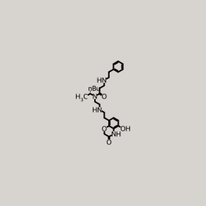 CCCC[C@@H](C)N(CCNCCc1ccc(O)c2c1OCC(=O)N2)C(=O)CCNCCc1ccccc1